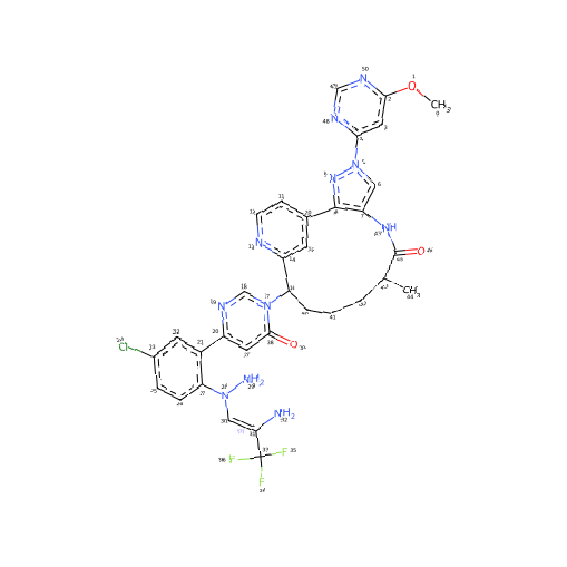 COc1cc(-n2cc3c(n2)-c2ccnc(c2)C(n2cnc(-c4cc(Cl)ccc4N(N)/C=C(\N)C(F)(F)F)cc2=O)CCCC(C)C(=O)N3)ncn1